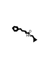 O=C(/C=C/CCc1ccccc1)NCC1CC1